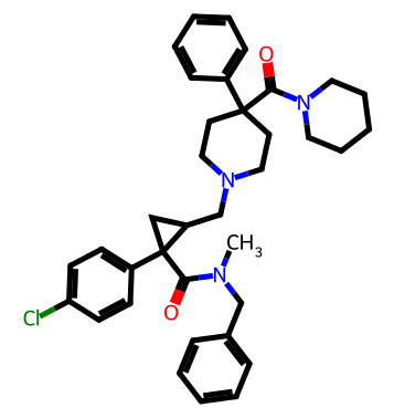 CN(Cc1ccccc1)C(=O)C1(c2ccc(Cl)cc2)CC1CN1CCC(C(=O)N2CCCCC2)(c2ccccc2)CC1